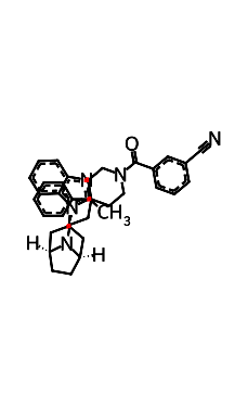 Cc1nc2ccccc2n1[C@H]1C[C@H]2CC[C@@H](C1)N2CCC1(c2ccccc2)CCN(C(=O)c2cccc(C#N)c2)CC1